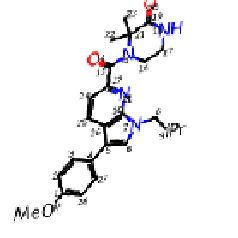 COc1ccc(-c2cn(CC(C)C)c3nc(C(=O)N4CCNC(=O)C4(C)C)ccc23)cc1